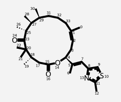 C/C1=C/C[C@@H](/C(C)=C/c2csc(C)n2)OC(=O)C[C@H](C)C(C)(C)C(=O)[C@H](C)[C@@H](C)[C@@H](C)CCC1